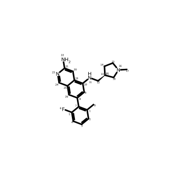 Cc1cccc(F)c1-c1cc(NC[C@H]2CCN(C)C2)c2cc(N)ncc2c1